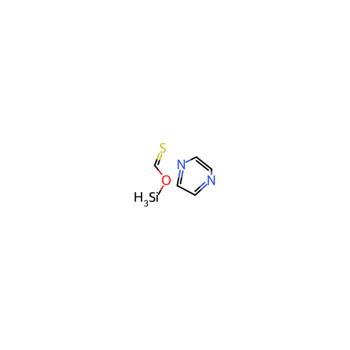 [SiH3]OC=S.c1cnccn1